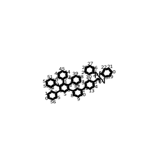 c1ccc(-c2cc(-c3cccc(-c4ccc(-c5nc6ccccc6n5-c5ccccc5)cc4)c3)c(-c3ccccc3)c(-c3ccccc3)c2-c2ccccc2)cc1